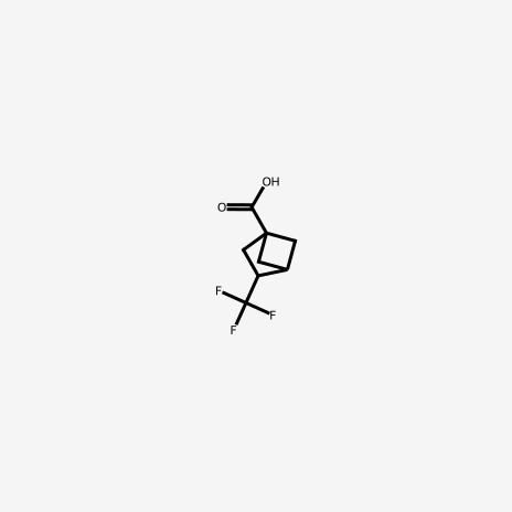 O=C(O)C12CC(C1)C(C(F)(F)F)C2